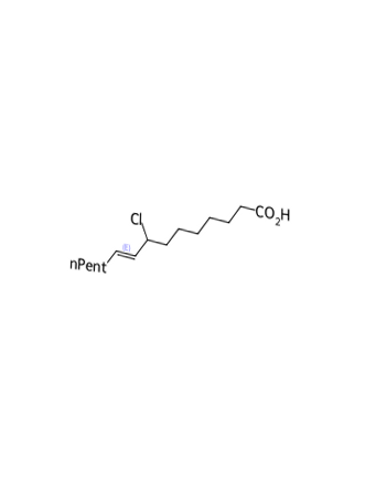 CCCCC/C=C/C(Cl)CCCCCCC(=O)O